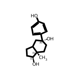 C[C@]12CC[C@](O)(c3ccc(O)cc3)CC1CC[C@@H]2O